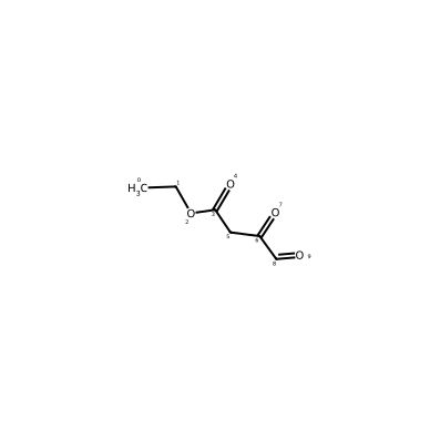 CCOC(=O)CC(=O)C=O